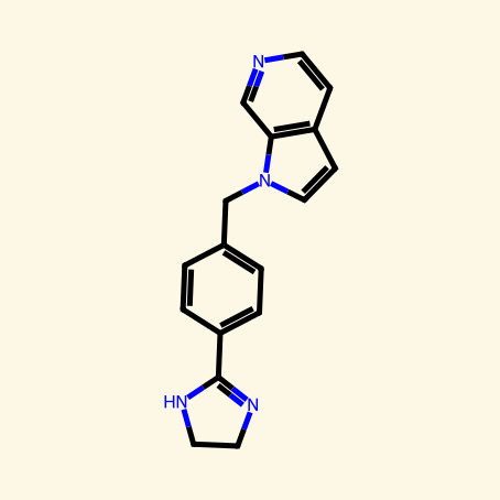 c1cc2ccn(Cc3ccc(C4=NCCN4)cc3)c2cn1